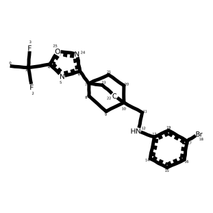 CC(F)(F)c1nc(C23CCC(CNc4cccc(Br)c4)(CC2)CC3)no1